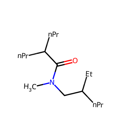 CCCC(CC)CN(C)C(=O)C(CCC)CCC